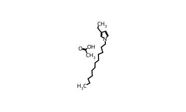 CC(=O)O.CCCCCCCCCCCCn1ccc(CC)c1